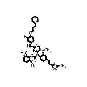 COc1cc(C=Cc2nc(C)no2)ccc1N(C(=O)Oc1c(C)cccc1C)c1ccnc(Nc2ccc(OCCCN3CCCCC3)c(F)c2)n1